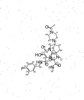 CC(=O)N1CCN(C23CCC(N(C)C(=O)C(=O)N(C)C)(CC2)c2nc(C(=O)NCc4ccc(F)c(C)c4)c(O)c(=O)n2C3)CC1